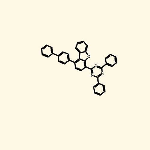 c1ccc(-c2ccc(-c3ccc(-c4nc(-c5ccccc5)nc(-c5ccccc5)n4)c4oc5ccccc5c34)cc2)cc1